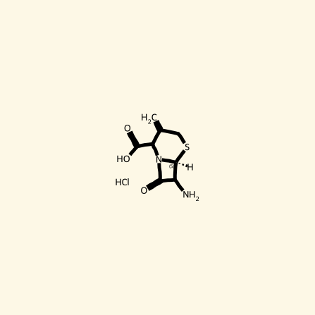 C=C1CS[C@H]2C(N)C(=O)N2C1C(=O)O.Cl